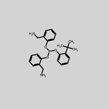 CC(C)(C)c1ccccc1OP(Oc1ccccc1CN)Oc1ccccc1CN